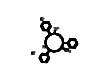 CN1CCC(c2ccccc2)NCCC(c2ccccc2)[N]([Ti+2])CCC1c1ccccc1.[Cl-].[Cl-]